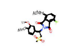 CCOc1cc([C@H](CS(C)(=O)=O)N2C(=O)c3c(F)ccc(NC(C)=O)c3C2=O)ccc1OC